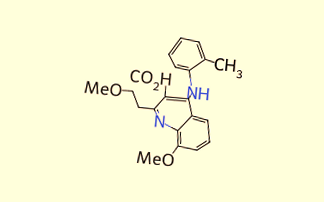 COCCc1nc2c(OC)cccc2c(Nc2ccccc2C)c1C(=O)O